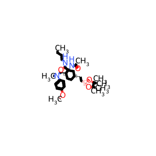 CCCCNC(=O)[C@@]1(NC(C)=O)C[C@H](CCB2OC(C)(C)C(C)(C)O2)CC[C@H]1CN(C)c1ccc(OC)cc1